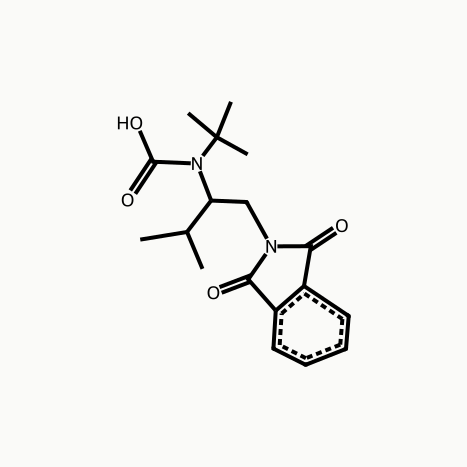 CC(C)C(CN1C(=O)c2ccccc2C1=O)N(C(=O)O)C(C)(C)C